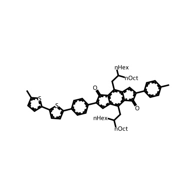 CCCCCCCCC(CCCCCC)Cc1c2cc(-c3ccc(-c4ccc(-c5ccc(C)s5)s4)cc3)c(=O)c2c(CC(CCCCCC)CCCCCCCC)c2cc(-c3ccc(C)cc3)c(=O)c12